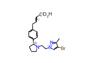 Cc1nn(CCN2CCC[C@H]2c2ccc(C/C=C/C(=O)O)cc2)cc1Br